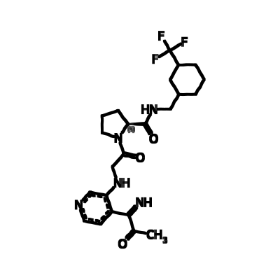 CC(=O)C(=N)c1ccncc1NCC(=O)N1CCC[C@H]1C(=O)NCC1CCCC(C(F)(F)F)C1